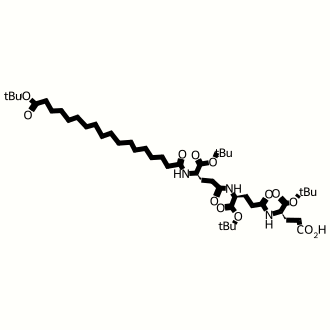 CC(C)(C)OC(=O)CCCCCCCCCCCCCCCCC(=O)N[C@@H](CCC(=O)N[C@@H](CCC(=O)N[C@@H](CCC(=O)O)C(=O)OC(C)(C)C)C(=O)OC(C)(C)C)C(=O)OC(C)(C)C